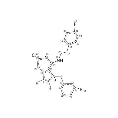 Cc1c(C)n(Cc2cccc(F)c2)c2c(NCCc3ccc(F)cc3)nc(Cl)cc12